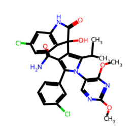 COc1ncc(-n2c(-c3cccc(Cl)c3)c(C(N)=O)c(C3(O)C(=O)Nc4cc(Cl)ccc43)c2C(C)C)c(OC)n1